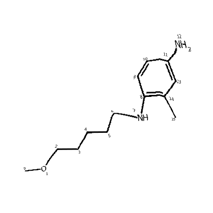 COCCCCCNc1ccc(N)cc1C